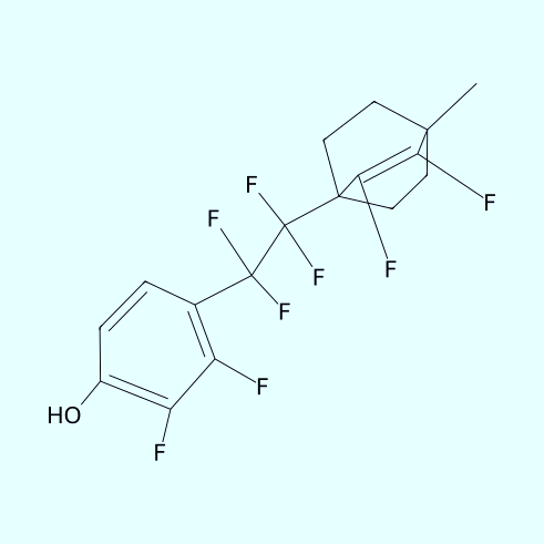 CC12CCC(C(F)(F)C(F)(F)c3ccc(O)c(F)c3F)(CC1)C(F)=C2F